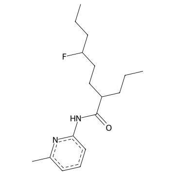 CCCC(F)CCC(CCC)C(=O)Nc1cccc(C)n1